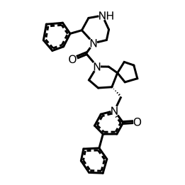 O=C(N1CC[C@@H](Cn2ccc(-c3ccccc3)cc2=O)C2(CCCC2)C1)N1CCNCC1c1ccccc1